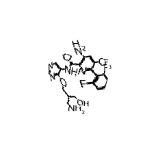 NCC(CO)COc1ncncc1NC(=O)c1nc(-c2c(F)cccc2F)c(C(F)(F)F)cc1N